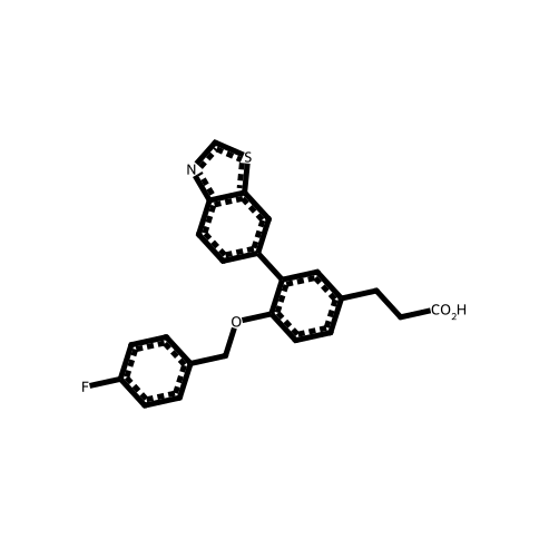 O=C(O)CCc1ccc(OCc2ccc(F)cc2)c(-c2ccc3ncsc3c2)c1